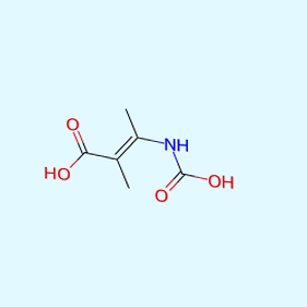 CC(NC(=O)O)=C(C)C(=O)O